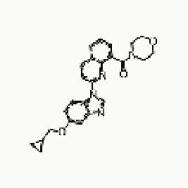 O=C(c1cccc2ccc(-n3cnc4cc(OCC5CC5)ccc43)nc12)N1CCOCC1